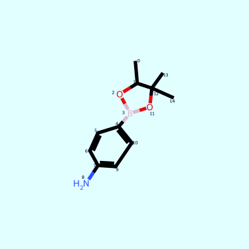 CC1OB(c2ccc(N)cc2)OC1(C)C